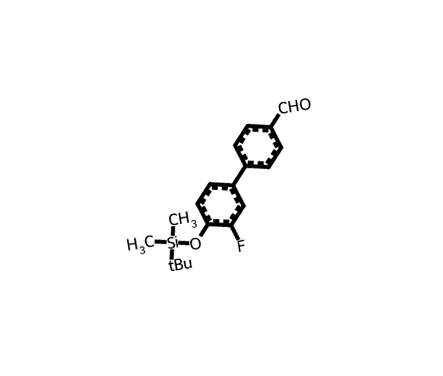 CC(C)(C)[Si](C)(C)Oc1ccc(-c2ccc(C=O)cc2)cc1F